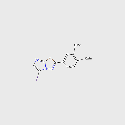 COc1ccc(-c2nn3c(I)cnc3s2)cc1OC